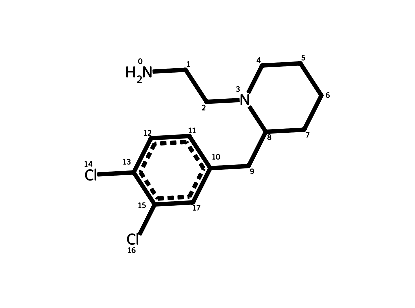 NCCN1CCCCC1Cc1ccc(Cl)c(Cl)c1